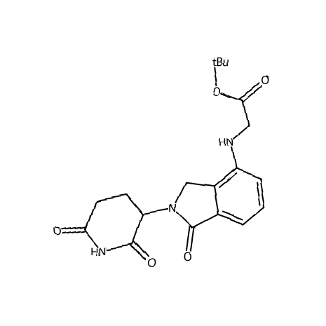 CC(C)(C)OC(=O)CNc1cccc2c1CN(C1CCC(=O)NC1=O)C2=O